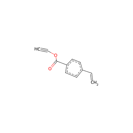 C#COC(=O)c1ccc(C=C)cc1